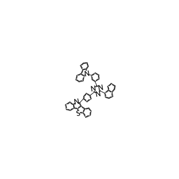 c1cc(-c2nc(-c3ccc(-c4nc5ccccc5c5sc6ccccc6c45)cc3)nc(-c3cccc4ccccc34)n2)cc(-n2c3ccccc3c3ccccc32)c1